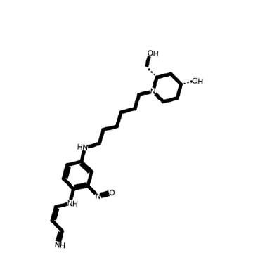 N=C/C=C\Nc1ccc(NCCCCCCN2CC[C@@H](O)C[C@H]2CO)cc1N=O